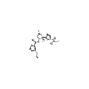 C=CCc1cccc(C(=O)OC2CN(C)C[N+]2([O-])c2ncc(S(=O)(=O)CC)s2)c1